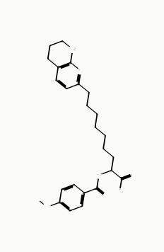 COc1ccc(C(=O)NC(CCCCCCCc2ccc3c(n2)NCCC3)C(=O)O)cc1